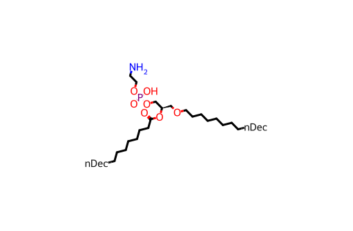 CCCCCCCCCCCCCCCCCCOC[C@H](COP(=O)(O)OCCN)OC(=O)CCCCCCCCCCCCCCCCC